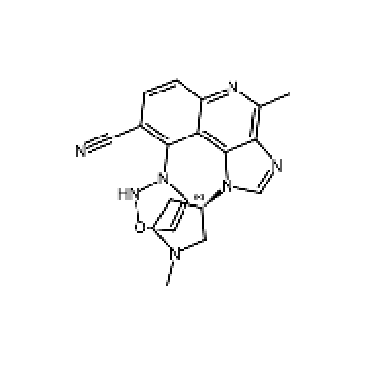 Cc1nc2ccc(C#N)c(N3C=CON3)c2c2c1ncn2[C@@H]1CCN(C)C1